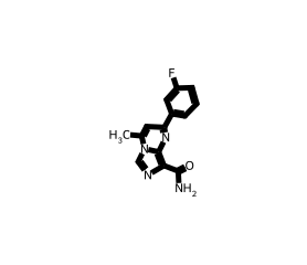 Cc1cc(-c2cccc(F)c2)nc2c(C(N)=O)ncn12